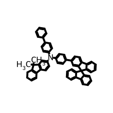 CC1(C)C2=C(C=CCC2)c2ccc(N(c3ccc(-c4ccccc4)cc3)c3ccc(-c4ccc5c(c4)C4(c6ccccc6-c6ccccc64)c4ccccc4-5)cc3)cc21